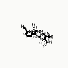 CNc1nc(N/C(C(C)=N)=C2\C=CC=C(C#N)N2)ncc1C(F)(F)F